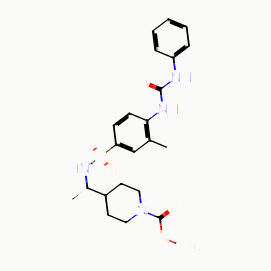 Cc1cc(S(=O)(=O)N[C@H](C)C2CCN(C(=O)OC(C)(C)C)CC2)ccc1NC(=O)Nc1ccccc1